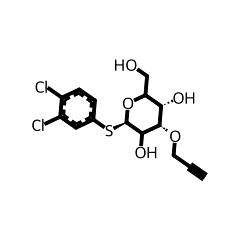 C#CCO[C@@H]1C(O)[C@@H](Sc2ccc(Cl)c(Cl)c2)OC(CO)[C@@H]1O